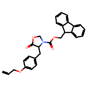 C=CCOc1ccc(CC2C(=O)OCN2C(=O)OCC2c3ccccc3-c3ccccc32)cc1